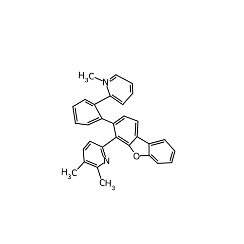 Cc1ccc(-c2c(-c3ccccc3-c3cccc[n+]3C)ccc3c2oc2ccccc23)nc1C